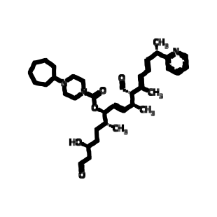 C/C(=C\C=C\[C@H](C)c1ccccn1)[C@@H](C=O)[C@@H](C)/C=C/[C@H](OC(=O)N1CCN(C2CCCCCC2)CC1)[C@H](C)CC[C@H](O)CC=O